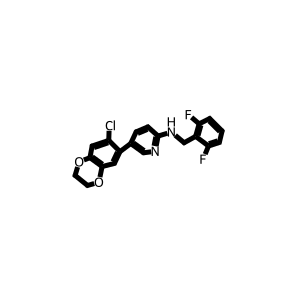 Fc1cccc(F)c1CNc1ccc(-c2cc3c(cc2Cl)OCCO3)cn1